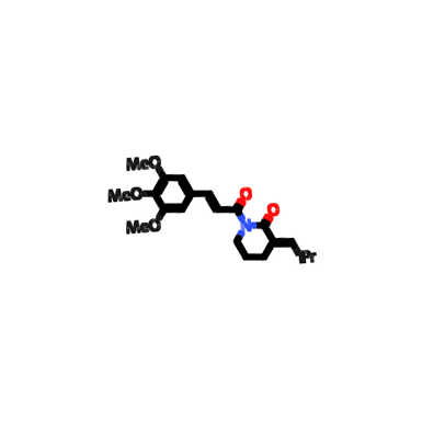 COc1cc(/C=C/C(=O)N2CCC/C(=C\C(C)C)C2=O)cc(OC)c1OC